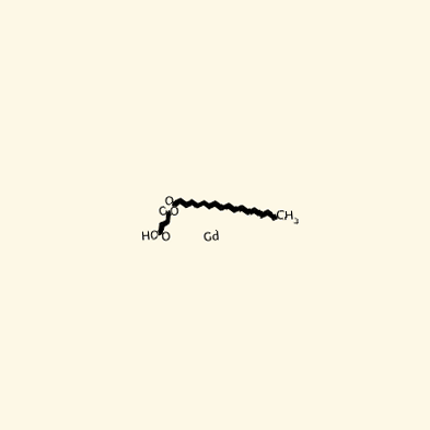 CCCCCCCCCCCCCCCCCC(=O)OC(=O)CCC(=O)O.[Gd]